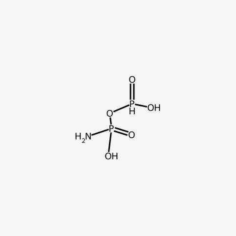 NP(=O)(O)O[PH](=O)O